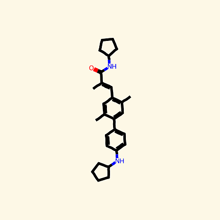 C/C(=C\c1cc(C)c(-c2ccc(NC3CCCC3)cc2)cc1C)C(=O)NC1CCCC1